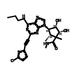 CCCNc1nc(C#Cc2ccc(Cl)s2)nc2c1ncn2[C@H]1[C@H](O)[C@H](O)C(C)(C(=O)NC)[C@@H]1C